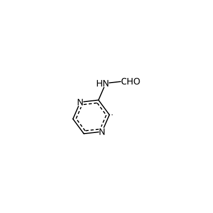 O=CNc1[c]nccn1